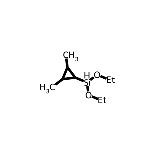 CCO[SiH](OCC)C1C(C)C1C